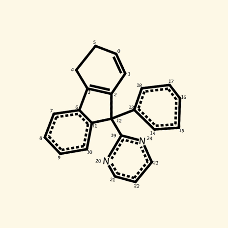 C1=CC2=C(CC1)c1ccccc1C2(c1ccccc1)c1ncccn1